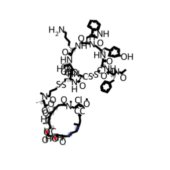 COc1cc2cc(c1Cl)N(C)C(=O)C[C@H](OC(=O)[C@H](C)N(C)C(=O)CCSSC[C@@H](NC(=O)[C@@H]1CSSC[C@H](NC(=O)[C@@H](Cc3ccccc3)NC(C)=O)C(=O)N[C@@H](Cc3ccc(O)cc3)C(=O)N[C@H](Cc3c[nH]c4ccccc34)C(=O)N[C@@H](CCCCN)C(=O)N[C@@H]([C@@H](C)O)C(=O)N1)C(N)=O)[C@]1(C)O[C@H]1[C@H](C)[C@@H]1C[C@@](O)(NC(=O)O1)[C@H](OC)/C=C/C=C(\C)C2